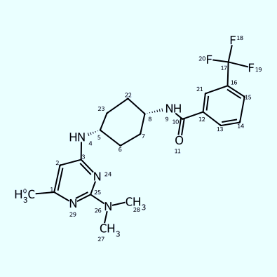 Cc1cc(N[C@H]2CC[C@@H](NC(=O)c3cccc(C(F)(F)F)c3)CC2)nc(N(C)C)n1